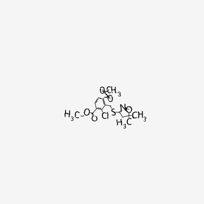 CCOC(=O)c1ccc(S(C)(=O)=O)c(CSC2=NOC(C)(C)C2)c1Cl